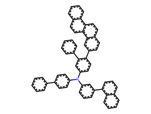 c1ccc(-c2ccc(N(c3cccc(-c4cccc5ccccc45)c3)c3ccc(-c4ccc5ccc6c7ccccc7ccc6c5c4)c(-c4ccccc4)c3)cc2)cc1